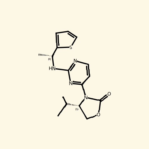 CC(C)[C@H]1COC(=O)N1c1ccnc(N[C@H](C)c2cccs2)n1